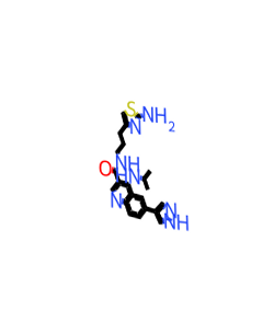 CC(C)Nc1c(C(=O)NCCCc2csc(N)n2)cnc2ccc(-c3cn[nH]c3)cc12